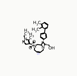 CCn1ncc(S(=O)(=O)N2C/C=C\CN3C(C2)[C@H](c2ccc(-c4cccc(C)c4C)cc2)[C@H]3CO)c1C